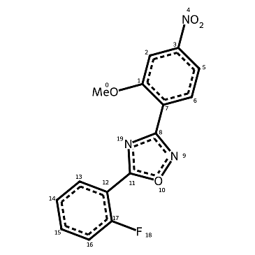 COc1cc([N+](=O)[O-])ccc1-c1noc(-c2ccccc2F)n1